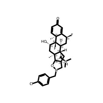 CN(C)C(=O)[C@@]12ON(Cc3ccc(Cl)cc3)C[C@@H]1C[C@H]1[C@@H]3C[C@H](F)C4=CC(=O)C=C[C@]4(C)[C@@]3(F)[C@@H](O)C[C@@]12C